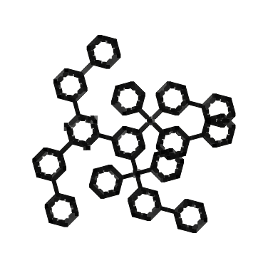 c1ccc(-c2cccc(-c3nc(-c4cccc(-c5ccccc5)c4)nc(-c4cc([Si](c5ccccc5)(c5ccccc5)c5cccc(-c6ccccc6)c5)cc([Si](c5ccccc5)(c5cccc(-c6ccccc6)c5)c5cccc(-c6ccccc6)c5)c4)n3)c2)cc1